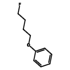 FCCCCOc1ccccc1